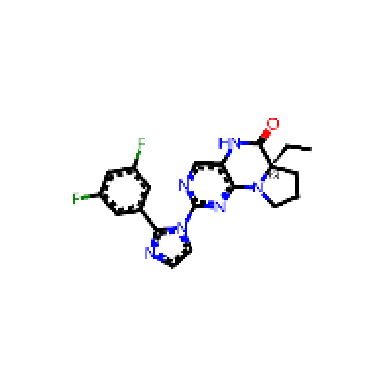 CC[C@@]12CCCN1c1nc(-n3ccnc3-c3cc(F)cc(F)c3)ncc1NC2=O